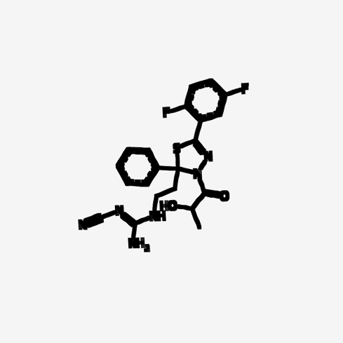 CC(O)C(=O)N1N=C(c2cc(F)ccc2F)SC1(CCNC(N)=NC#N)c1ccccc1